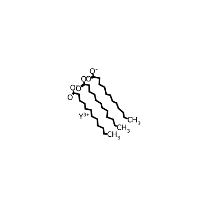 CCCCCCCCCCCC(=O)[O-].CCCCCCCCCCCC(=O)[O-].CCCCCCCCCCCC(=O)[O-].[Y+3]